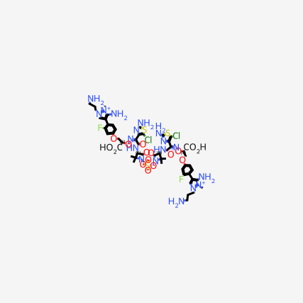 C[n+]1c(N)c(-c2ccc(OC[C@H](O/N=C(\C(=O)N[C@@H]3C(=O)N(OS(=O)(=O)ON4C(=O)[C@@H](NC(=O)/C(=N\O[C@@H](COc5ccc(-c6cn(CCCN)[n+](C)c6N)c(F)c5)C(=O)O)c5nc(N)sc5Cl)C4(C)C)C3(C)C)c3nc(N)sc3Cl)C(=O)O)cc2F)cn1CCCN